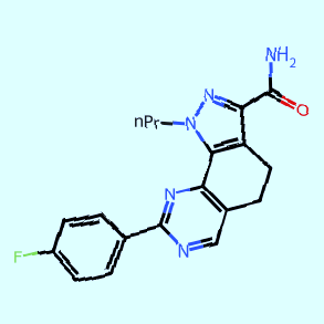 [CH2]CCn1nc(C(N)=O)c2c1-c1nc(-c3ccc(F)cc3)ncc1CC2